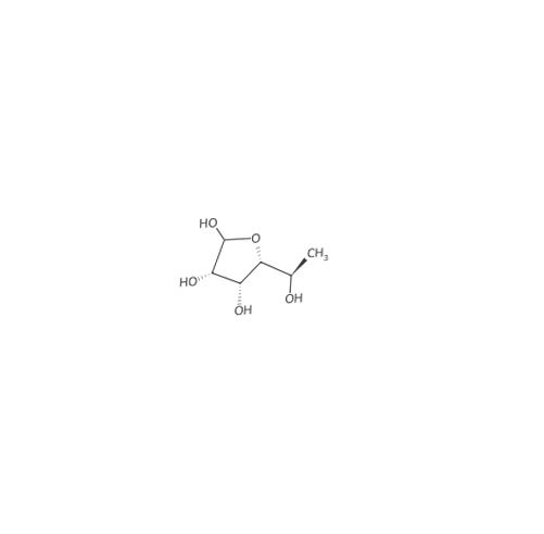 C[C@@H](O)[C@H]1OC(O)[C@@H](O)[C@H]1O